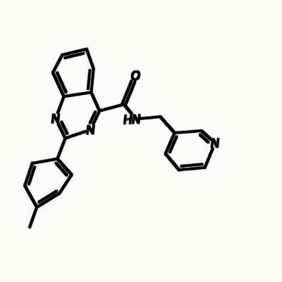 Cc1ccc(-c2nc(C(=O)NCc3cccnc3)c3ccccc3n2)cc1